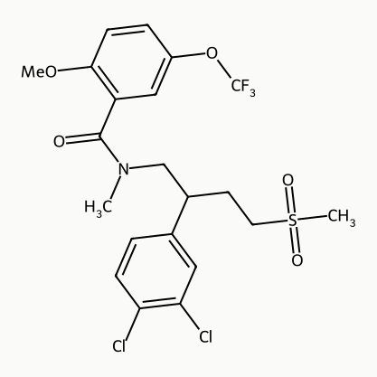 COc1ccc(OC(F)(F)F)cc1C(=O)N(C)CC(CCS(C)(=O)=O)c1ccc(Cl)c(Cl)c1